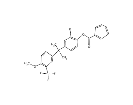 COc1ccc(C(C)(C)c2ccc(OC(=O)c3ccccc3)c(F)c2)cc1C(F)(F)F